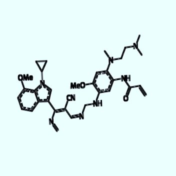 C=CC(=O)Nc1cc(NC/N=C\C(C#N)=C(/N=C)c2cn(C3CC3)c3c(OC)cccc23)c(OC)cc1N(C)CCN(C)C